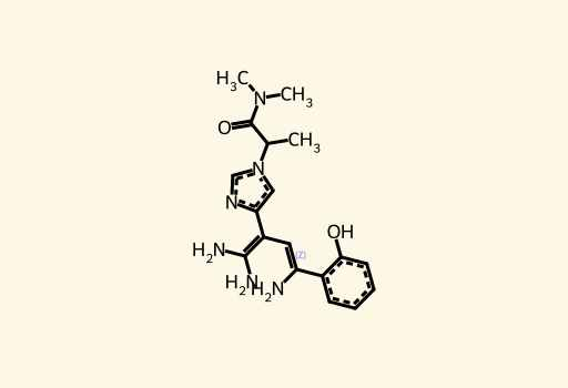 CC(C(=O)N(C)C)n1cnc(C(/C=C(\N)c2ccccc2O)=C(N)N)c1